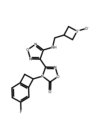 O=c1onc(-c2nonc2NCC2C[S+]([O-])C2)n1C1Cc2ccc(F)cc21